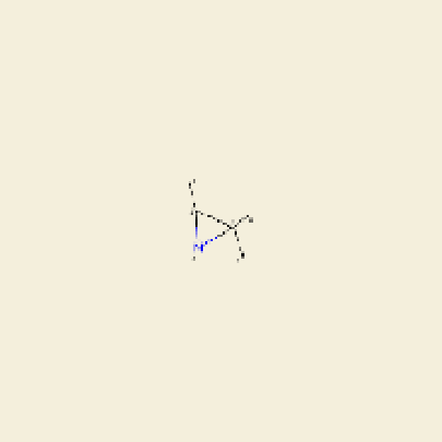 CC1[N]C1(C)C